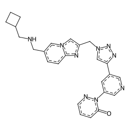 O=c1cccnn1-c1cncc(-c2cn(Cc3cn4cc(CNCC5CCC5)ccc4n3)nn2)c1